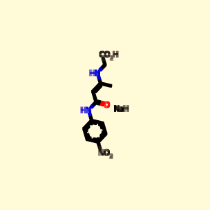 C/C(=C\C(=O)Nc1ccc([N+](=O)[O-])cc1)NCC(=O)O.[NaH]